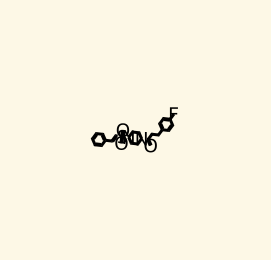 O=C(CCc1ccc(F)cc1)N1CCN(S(=O)(=O)/C=C/c2ccccc2)CC1